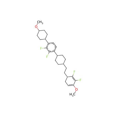 COC1=CCC(CCC2CCC(c3ccc(C4CCC(OC)CC4)c(F)c3F)CC2)C(F)=C1F